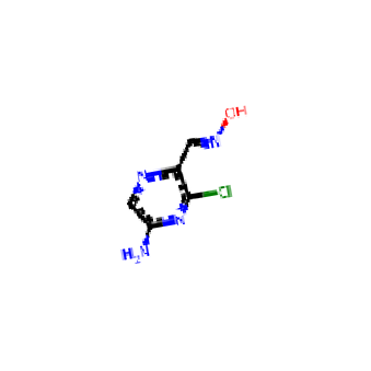 Nc1cnc(C=NO)c(Cl)n1